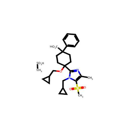 CS(=O)(=O)O.Cc1nc(C2(OCC3CC3)CCC(C(=O)O)(c3ccccc3)CC2)n(CC2CC2)c1S(C)(=O)=O